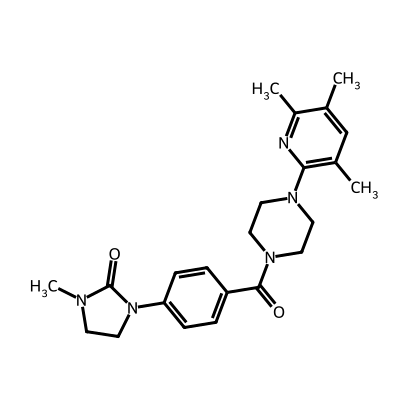 Cc1cc(C)c(N2CCN(C(=O)c3ccc(N4CCN(C)C4=O)cc3)CC2)nc1C